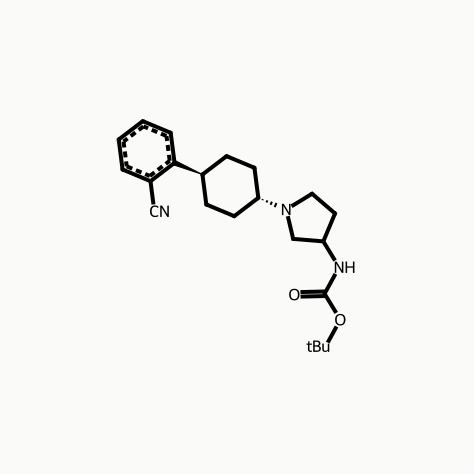 CC(C)(C)OC(=O)NC1CCN([C@H]2CC[C@H](c3ccccc3C#N)CC2)C1